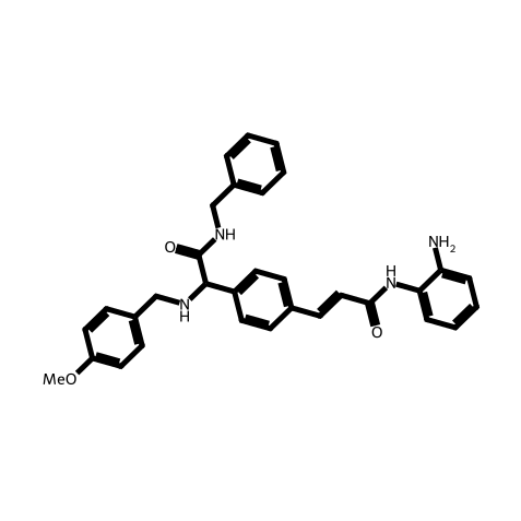 COc1ccc(CNC(C(=O)NCc2ccccc2)c2ccc(/C=C/C(=O)Nc3ccccc3N)cc2)cc1